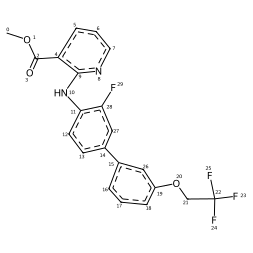 COC(=O)c1cccnc1Nc1ccc(-c2cccc(OCC(F)(F)F)c2)cc1F